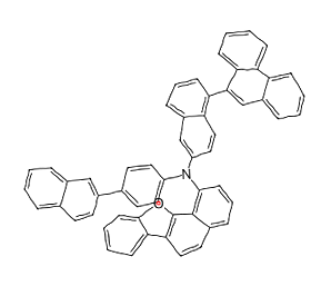 c1ccc2cc(-c3ccc(N(c4ccc5c(-c6cc7ccccc7c7ccccc67)cccc5c4)c4cccc5ccc6c7ccccc7oc6c45)cc3)ccc2c1